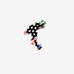 CC(OC(=O)CCc1nccs1)c1ccc([C@H]2C[C@@]3(C)C(CC[C@@]3(O)C(F)(F)C(F)(F)F)C3CCC4=CC(=O)CCC4=C32)cc1